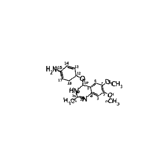 COc1cc2c(cc1OC)C(OC1C=CC(N)=CC1)NC(C)=N2